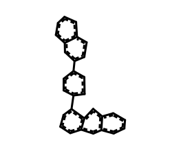 c1ccc2cc(-c3ccc(-c4cccc5cc6ccccc6cc45)cc3)ccc2c1